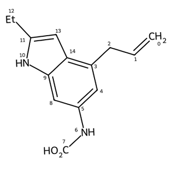 C=CCc1cc(NC(=O)O)cc2[nH]c(CC)cc12